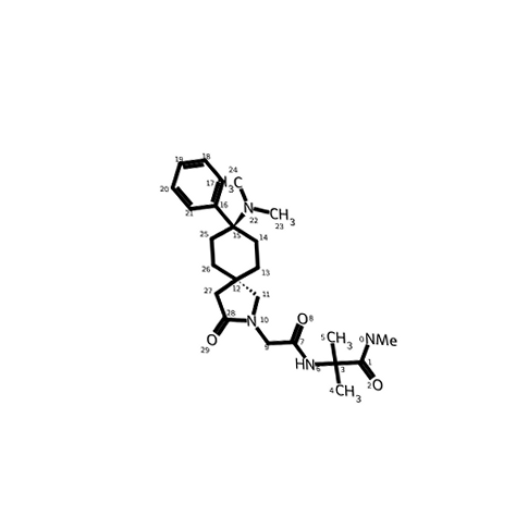 CNC(=O)C(C)(C)NC(=O)CN1C[C@]2(CC[C@](c3ccccc3)(N(C)C)CC2)CC1=O